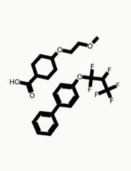 COCCOC1CCC(C(=O)O)CC1.FC(C(F)(F)F)C(F)(F)Oc1ccc(-c2ccccc2)cc1